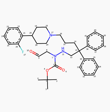 CC(C)(C)OC(=O)N(CC=O)NCC(CCCN1CCC(c2ccccc2F)CC1)(c1ccccc1)c1ccccc1